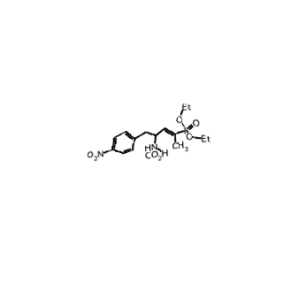 CCOP(=O)(OCC)/C(C)=C/C(Cc1ccc([N+](=O)[O-])cc1)NC(=O)O